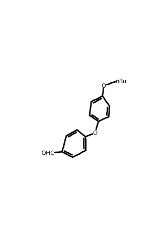 CCCCOc1ccc(Oc2ccc(C=O)cc2)cc1